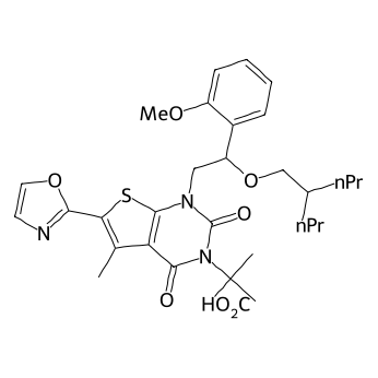 CCCC(CCC)COC(Cn1c(=O)n(C(C)(C)C(=O)O)c(=O)c2c(C)c(-c3ncco3)sc21)c1ccccc1OC